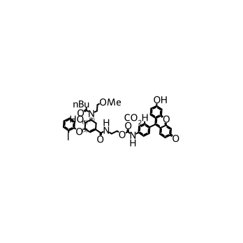 CCCCC(=O)N(CCOC)[C@@H]1CC(C(=O)NCCOC(=O)Nc2ccc(-c3c4ccc(=O)cc-4oc4cc(O)ccc34)c(C(=O)O)c2)=C[C@H](Oc2ccccc2I)[C@H]1O